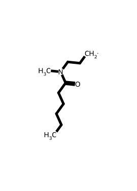 [CH2]CCN(C)C(=O)CCCCC